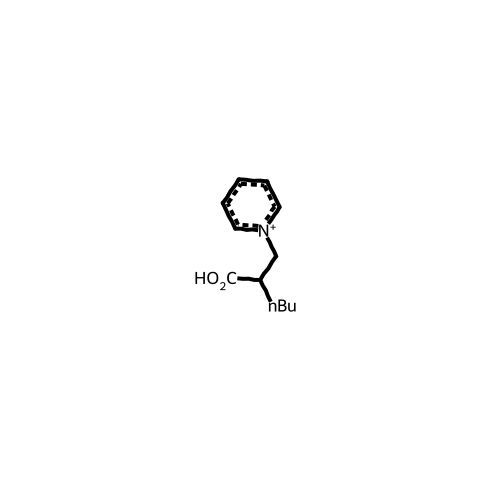 CCCCC(C[n+]1ccccc1)C(=O)O